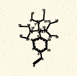 C=Cc1ccc([Si](N(CC)CC)(N(CC)CC)N(CC)CC)cc1